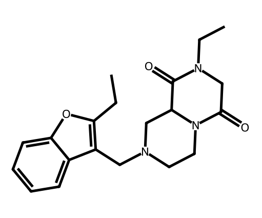 CCc1oc2ccccc2c1CN1CCN2C(=O)CN(CC)C(=O)C2C1